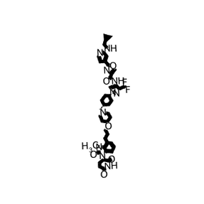 Cn1c(=O)n(C2CCC(=O)NC2=O)c2cccc(CCCOC3CCN(C[C@H]4CC[C@H](n5cc(NC(=O)c6coc(-c7ccnc(NCC8CC8)c7)n6)c(C(F)F)n5)CC4)CC3)c21